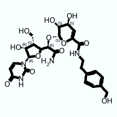 NC(=O)[C@H](O[C@H]1OC(C(=O)NCCc2ccc(CO)cc2)=C[C@H](O)[C@@H]1O)C1O[C@@H](n2ccc(=O)[nH]c2=O)[C@H](O)[C@@H]1CO